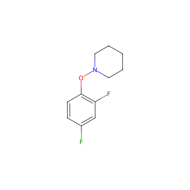 Fc1ccc(ON2CCCCC2)c(F)c1